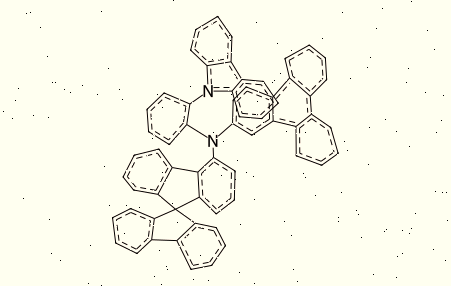 c1ccc2c(c1)-c1ccccc1C21c2ccccc2-c2c(N(c3ccc4c5ccccc5c5ccccc5c4c3)c3ccccc3-n3c4ccccc4c4ccccc43)cccc21